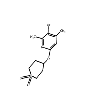 Cc1cc(OC2CCS(=O)(=O)CC2)nc(C)c1Br